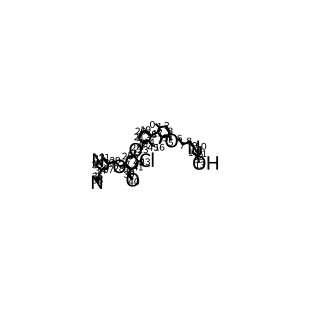 Cc1ccc(OCCCN2CCC(O)C2)c(C)c1-c1cccc(COc2cc(OCc3cncc(C#N)c3)c(C=O)cc2Cl)c1C